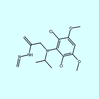 C=NNC(=C)CN(c1c(Cl)c(OC)cc(OC)c1Cl)C(C)C